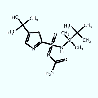 CC(C)(O)c1cnc(S(=O)(=NC(N)=O)N[Si](C)(C)C(C)(C)C)s1